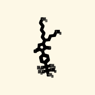 BC(C)(C)C(C)(C)c1ccc(N2C(=O)CC(C(CCCC)CCCCCC)C2=O)cc1